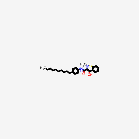 CCCCCCCCCCc1ccc(NC(=O)C2=C(O)c3ccccc3SN2C)cc1